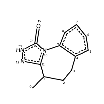 CC1CCc2ccccc2-n2c1n[nH]c2=O